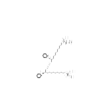 CO[Si](CCCCCCCCCCC(CSSSSCC(CCCCCCCCCC[Si](OC)(OC)OC)c1nc2ccccc2s1)c1nc2ccccc2s1)(OC)OC